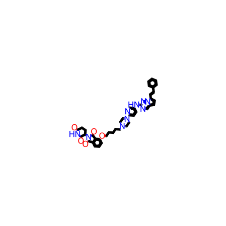 O=C1CCC(N2C(=O)c3cccc(OCCCCCN4CCN(c5ccc(Nc6ncc7ccc(C=Cc8ccccc8)n7n6)cn5)CC4)c3C2=O)C(=O)N1